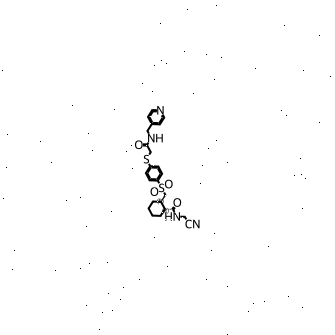 N#CCNC(=O)[C@@H]1CCCC[C@H]1CS(=O)(=O)c1ccc(SCC(=O)NCc2ccncc2)cc1